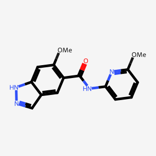 COc1cccc(NC(=O)c2cc3cn[nH]c3cc2OC)n1